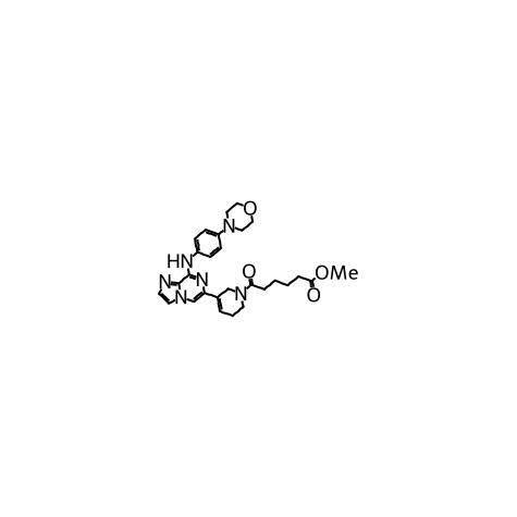 COC(=O)CCCCC(=O)N1CCC=C(c2cn3ccnc3c(Nc3ccc(N4CCOCC4)cc3)n2)C1